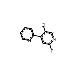 Fc1cc(-c2ccc[c]n2)c(Cl)[c]n1